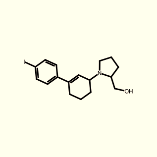 OCC1CCCN1C1C=C(c2ccc(I)cc2)CCC1